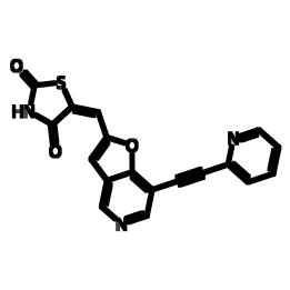 O=C1NC(=O)/C(=C\c2cc3cncc(C#Cc4ccccn4)c3o2)S1